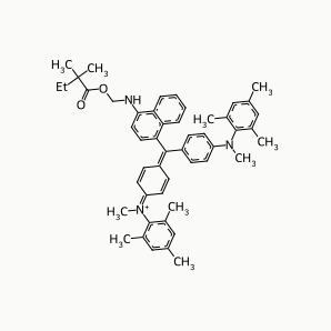 CCC(C)(C)C(=O)OCNc1ccc(C(=C2C=CC(=[N+](C)c3c(C)cc(C)cc3C)C=C2)c2ccc(N(C)c3c(C)cc(C)cc3C)cc2)c2ccccc12